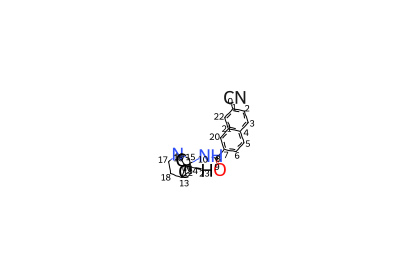 N#Cc1ccc2ccc(C(=O)N[C@@H]3CC4CCN(CC4)C3)cc2c1